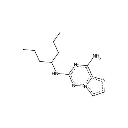 CCCC(CCC)Nc1nc(N)c2nccn2n1